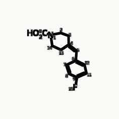 O=C(O)N1CCC(=Cc2ccc(F)cc2)CC1